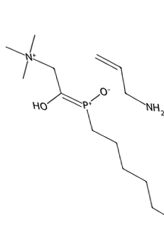 C=CCN.CCCCCC/[P+]([O-])=C(\O)C[N+](C)(C)C